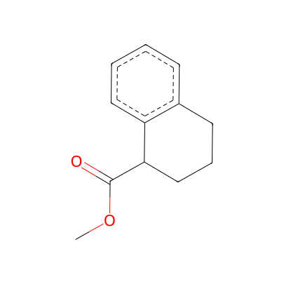 COC(=O)C1CCCc2ccccc21